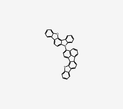 c1ccc2c(c1)oc1c2ccc2c1c1ccccc1n2-c1ccc2c3c(cccc13)-c1ccc3c(sc4ccccc43)c1-2